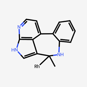 C[C]1([Rh])Nc2ccccc2-c2ccnc3[nH]cc1c23